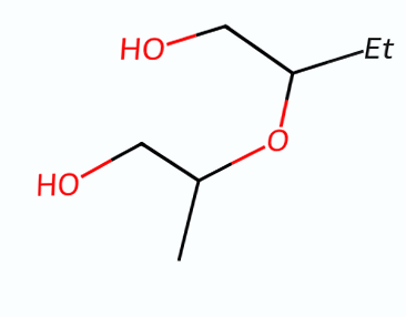 CCC(CO)OC(C)CO